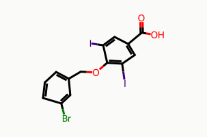 O=C(O)c1cc(I)c(OCc2cccc(Br)c2)c(I)c1